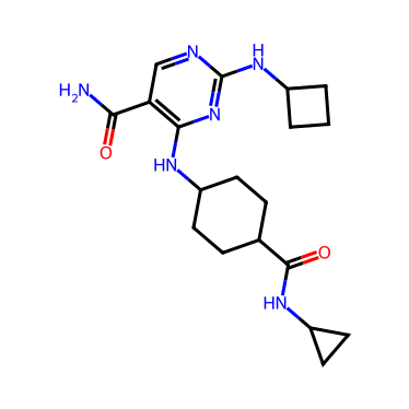 NC(=O)c1cnc(NC2CCC2)nc1NC1CCC(C(=O)NC2CC2)CC1